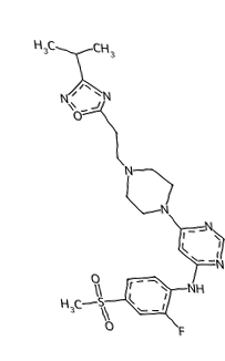 CC(C)c1noc(CCN2CCN(c3cc(Nc4ccc(S(C)(=O)=O)cc4F)ncn3)CC2)n1